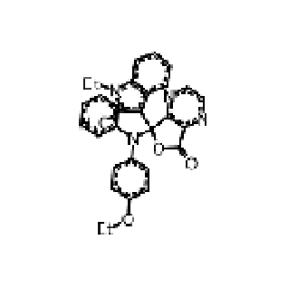 CCOc1ccc(N(c2ccccc2)C2(c3c(C)n(CC)c4ccccc34)OC(=O)c3nccnc32)cc1